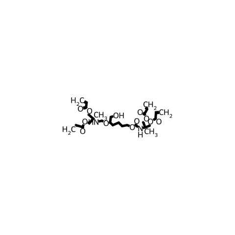 C=CC(=O)OCC(C)(COC(=O)C=C)NCOC(CO)CCCCOC(=O)NC(C)(COC(=O)C=C)COC(=O)C=C